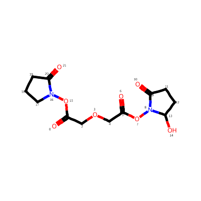 O=C(COCC(=O)ON1C(=O)CCC1O)ON1CCCC1=O